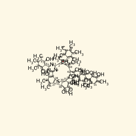 BC1=C2c3nc(C4=C(O)C(C)C(C)C(C)=C4C)nc(n3)-c3c(O)c(C)c(C)c4c3sc3c(c(C)c(O)c(O)c34)-c3c(C)c(c(C)c(C(/C(O)=C(/O)Cc4c(C)cc(C)c(O)c4O)=C(\O)C(=C)C)c3O)C(=C(C)C(c3c(C)c(C)c(C)c(C)c3C)C2C)C1